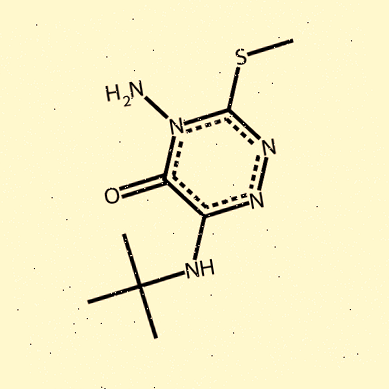 CSc1nnc(NC(C)(C)C)c(=O)n1N